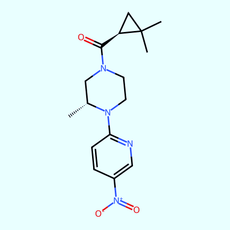 C[C@@H]1CN(C(=O)[C@H]2CC2(C)C)CCN1c1ccc([N+](=O)[O-])cn1